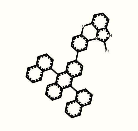 CCc1nc2cccc3c2n1-c1cc(-c2ccc4c(-c5cccc6ccccc56)c5ccccc5c(-c5cccc6ccccc56)c4c2)ccc1O3